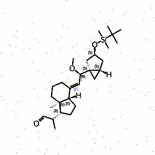 CO[C@H](/C=C1\CCC[C@]2(C)[C@@H](C(C)C=O)CC[C@@H]12)[C@@]12C[C@@H](O[Si](C)(C)C(C)(C)C)C[C@@H]1C2